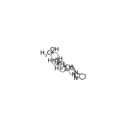 C[C@@]1(O)CC[C@H]2[C@@H](CC[C@@H]3[C@@H]2CC[C@]2(C)[C@@H](C(=O)Cn4nc5ccccc5n4)CC[C@@H]32)C1